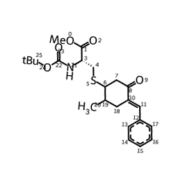 COC(=O)[C@H](CSC1CC(=O)/C(=C/c2ccccc2)CC1C)NC(=O)OC(C)(C)C